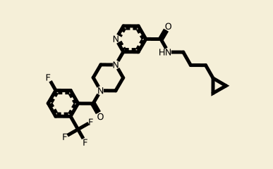 O=C(NCCCC1CC1)c1ccnc(N2CCN(C(=O)c3cc(F)ccc3C(F)(F)F)CC2)c1